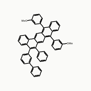 COc1cccc(-c2c3ccccc3c(-c3cccc(OC)c3)c3cc4c(cc23)c(-c2ccccc2)c(-c2cccc(-c3ccccc3)c2)c2ccccc24)c1